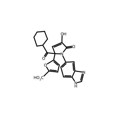 O=C(O)c1ccc(C2(C(=O)C3CCCCC3)C=C(O)C(=O)N2c2ccc3[nH]cnc3c2)o1